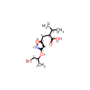 CC(CBr)Oc1cc(CC(C(=O)O)C(C)C)on1